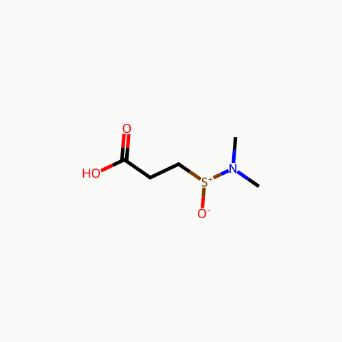 CN(C)[S+]([O-])CCC(=O)O